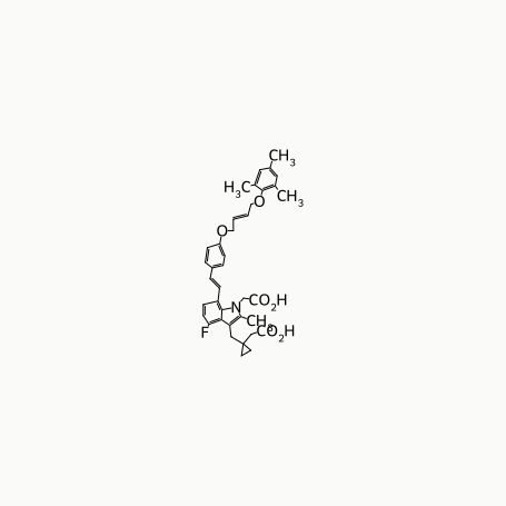 Cc1cc(C)c(OC/C=C/COc2ccc(C=Cc3ccc(F)c4c(CC5(CC(=O)O)CC5)c(C)n(CC(=O)O)c34)cc2)c(C)c1